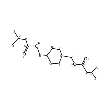 CC(C)CC(=O)OCC1CCC(COC(=O)CC(C)C)CC1